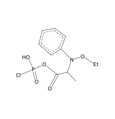 CCON(c1ccccc1)C(C)C(=O)OP(=O)(O)Cl